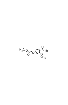 CCOC(=O)COc1ccc(C(=O)CBr)c(OC)c1